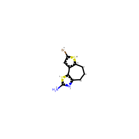 Nc1nc2c(s1)-c1cc(Br)sc1CCC2